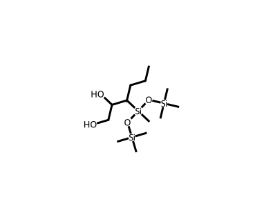 CCC[C](C(O)CO)[Si](C)(O[Si](C)(C)C)O[Si](C)(C)C